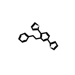 c1ccc(CCc2cc(-c3cccs3)ccc2-c2cccs2)cc1